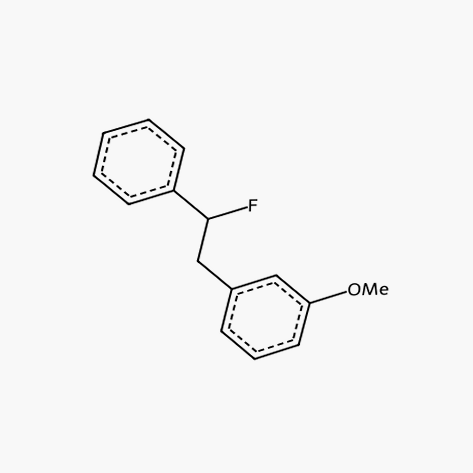 COc1cccc(CC(F)c2ccccc2)c1